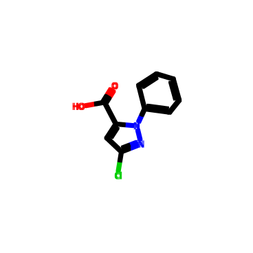 O=C(O)c1cc(Cl)nn1-c1ccccc1